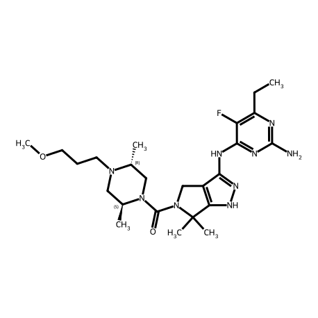 CCc1nc(N)nc(Nc2n[nH]c3c2CN(C(=O)N2C[C@@H](C)N(CCCOC)C[C@@H]2C)C3(C)C)c1F